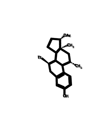 CC[C@@H]1Cc2cc(O)ccc2C2C1C1CC[C@H](OC(C)=O)[C@@]1(C)C[C@@H]2C